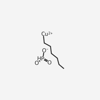 CCCCC[CH2][Cu+2].O=[PH]([O-])[O-]